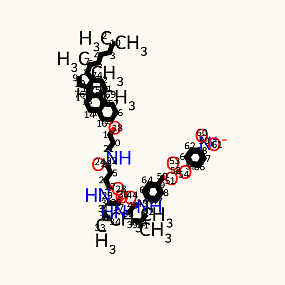 CC(C)CCC[C@@H](C)[C@H]1CC[C@H]2[C@@H]3CC=C4C[C@@H](OCCCNC(=O)CCC(=O)N[C@@H](CC(C)C)C(=O)N[C@@H](CC(C)C)C(=O)Nc5ccc(COC(=O)Oc6ccc([N+](=O)[O-])cc6)cc5)CC[C@]4(C)C3CC[C@]12C